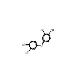 N#Cc1ccc(Oc2ccc(C#N)c(C#N)c2)cc1C#N